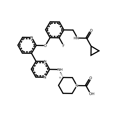 O=C(NCc1cccc(Oc2ncccc2-c2ccnc(N[C@H]3CCCN(C(=O)O)C3)n2)c1F)C1CC1